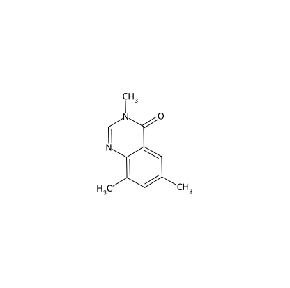 Cc1cc(C)c2ncn(C)c(=O)c2c1